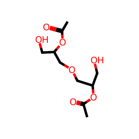 CC(=O)OC(CO)COCC(CO)OC(C)=O